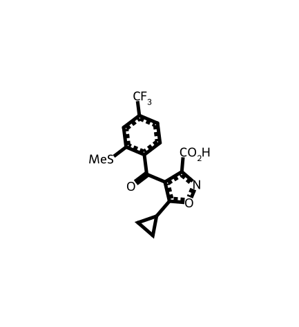 CSc1cc(C(F)(F)F)ccc1C(=O)c1c(C(=O)O)noc1C1CC1